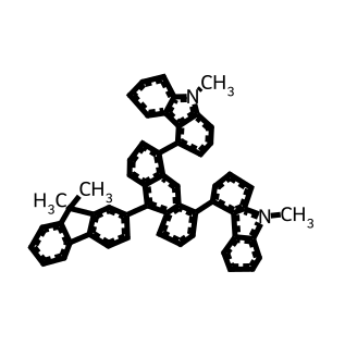 Cn1c2ccccc2c2c(-c3cccc4c(-c5ccc6c(c5)C(C)(C)c5ccccc5-6)c5cccc(-c6cccc7c6c6ccccc6n7C)c5cc34)cccc21